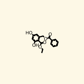 CCOC(=O)c1c(O)cc(O)cc1COC(=O)c1ccccc1